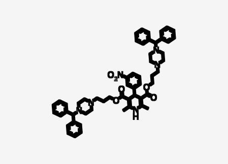 CC1=C(C(=O)OCCCN2CCN(C(c3ccccc3)c3ccccc3)CC2)C(c2cccc([N+](=O)[O-])c2)C(C(=O)OCCCN2CCN(C(c3ccccc3)c3ccccc3)CC2)=C(C)N1